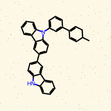 CC1C=CC(c2cccc(-n3c4ccccc4c4cc(-c5ccc6[nH]c7ccccc7c6c5)ccc43)c2)=CC1